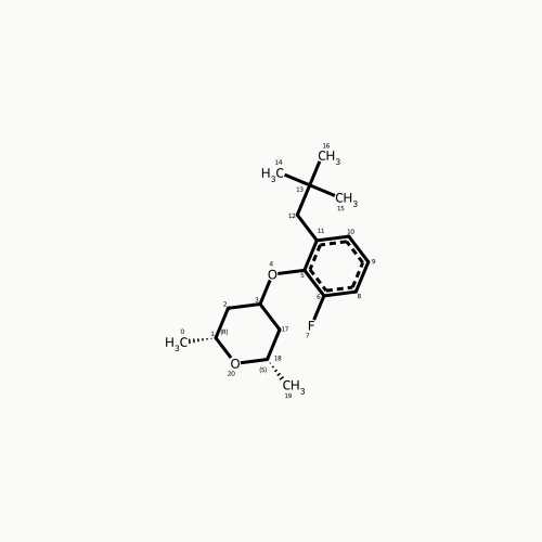 C[C@@H]1CC(Oc2c(F)cccc2CC(C)(C)C)C[C@H](C)O1